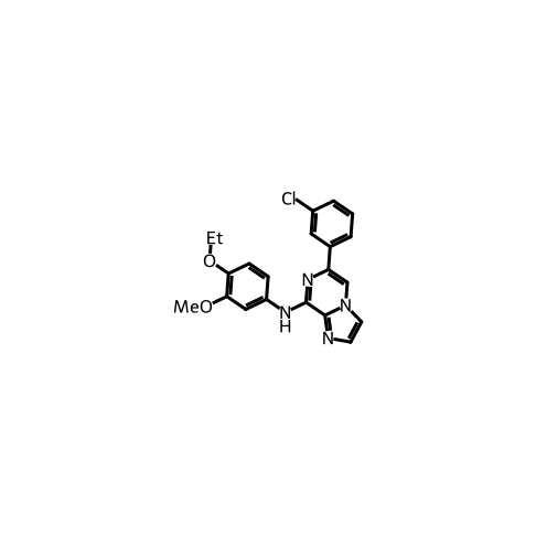 CCOc1ccc(Nc2nc(-c3cccc(Cl)c3)cn3ccnc23)cc1OC